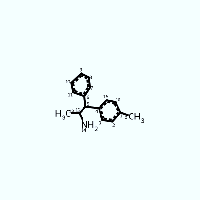 Cc1ccc(C(c2ccccc2)C(C)N)cc1